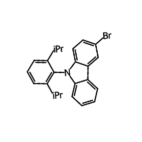 CC(C)c1cccc(C(C)C)c1-n1c2ccccc2c2cc(Br)ccc21